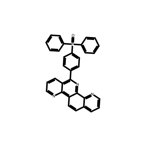 O=P(c1ccccc1)(c1ccccc1)c1ccc(-c2nc3c(ccc4cccnc43)c3ncccc23)cc1